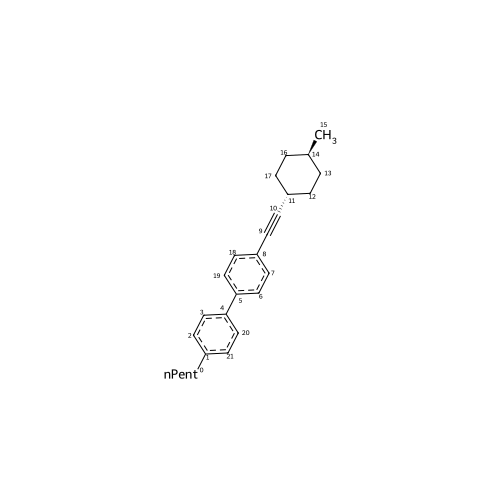 CCCCCc1ccc(-c2ccc(C#C[C@H]3CC[C@H](C)CC3)cc2)cc1